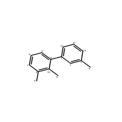 Cc1[c]c(-c2cccc(C)c2C)ccc1